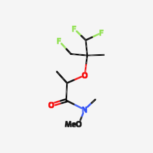 CON(C)C(=O)C(C)OC(C)(CF)C(F)F